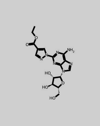 CCOC(=O)c1cnn(-c2nc(N)c3ncn([C@@H]4O[C@H](CO)[C@@H](O)[C@@H]4O)c3n2)c1